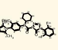 Cc1ccc(C)n1-c1ccc(N(C(=O)n2nnn(-c3c(F)cccc3F)c2=O)C2CCCCC2)cc1C=O